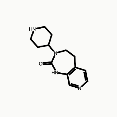 O=C1Nc2cnccc2CCN1C1CCNCC1